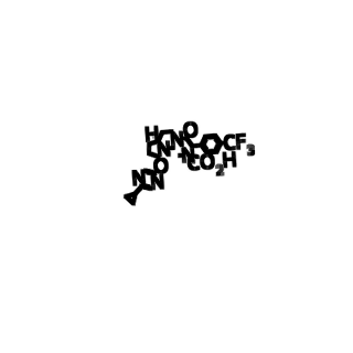 CN(C(=O)O)[C@H](C(=O)N1CC[C@@H]2CC[C@H](Oc3cnc(C4CC4)cn3)N2C1)c1ccc(C(F)(F)F)cc1